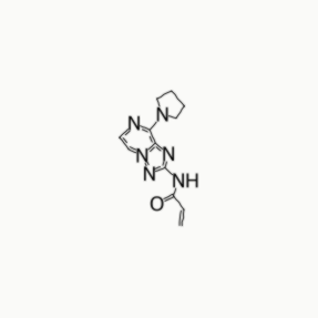 C=CC(=O)Nc1nc2c(N3CCCC3)nccn2n1